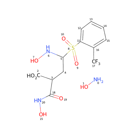 NO.O=C(O)C(CC(NO)S(=O)(=O)c1ccccc1C(F)(F)F)C(=O)NO